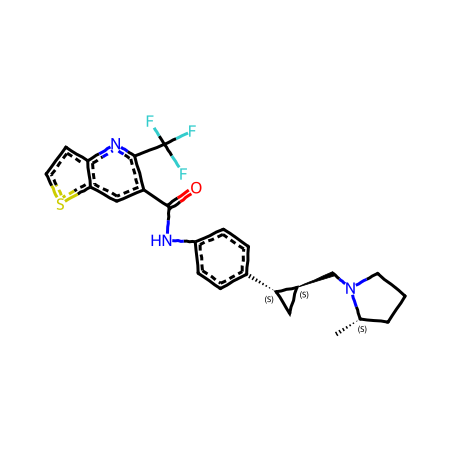 C[C@H]1CCCN1C[C@H]1C[C@@H]1c1ccc(NC(=O)c2cc3sccc3nc2C(F)(F)F)cc1